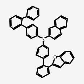 c1ccc(-c2ccccc2-c2ccc(N(c3ccc(-c4ccccc4-c4cc5ccccc5o4)cc3)c3ccc4ccccc4c3)cc2)cc1